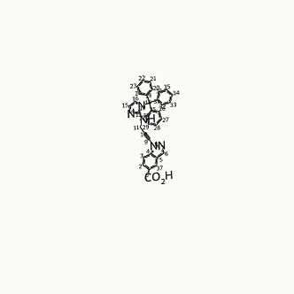 O=C(O)c1ccc2c(cnn2C#CCNc2nccn2C(c2ccccc2)(c2ccccc2)c2ccccc2)c1